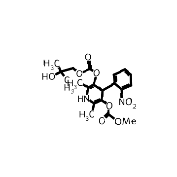 COC(=O)OC1=C(C)NC(C)=C(OC(=O)OCC(C)(C)O)C1c1ccccc1[N+](=O)[O-]